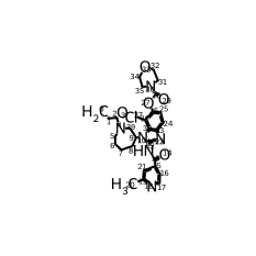 C=CC(=O)N1CCCCC(n2c(NC(=O)c3ccnc(C)c3)nc3ccc(OC(=O)N4CCOCC4)c(Cl)c32)C1